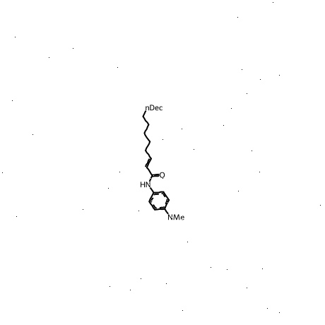 CCCCCCCCCCCCCCCC=CC(=O)Nc1ccc(NC)cc1